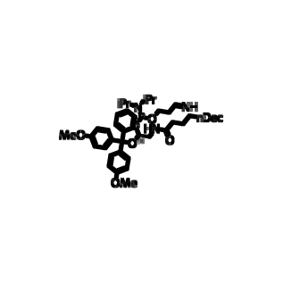 CCCCCCCCCCCCCC(=O)NC[C@H](OP(OCCC=N)N(C(C)C)C(C)C)OC(c1ccccc1)(c1ccc(OC)cc1)c1ccc(OC)cc1